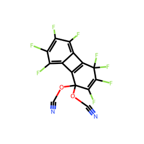 N#COC1(OC#N)C(F)=C(F)C(F)(F)C2=C1c1c(F)c(F)c(F)c(F)c12